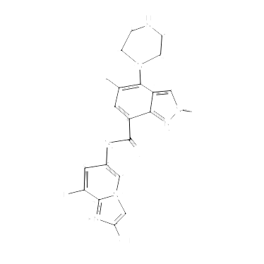 Cc1cn2cc(NC(=O)c3cc(Cl)c(N4CCNCC4)c4cn(C)nc34)cc(F)c2n1